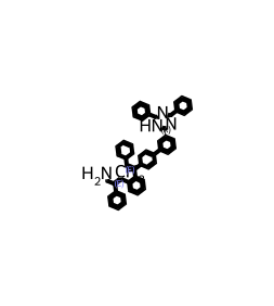 C/C(=C(\CN)c1ccccc1)c1ccccc1/C(=C/C1C=CC=CC1)C1C=CC(c2cccc([C@H]3N=C(c4ccccc4)N=C(c4ccccc4)N3)c2)=CC1